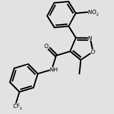 Cc1onc(-c2ccccc2[N+](=O)[O-])c1C(=O)Nc1cccc(C(F)(F)F)c1